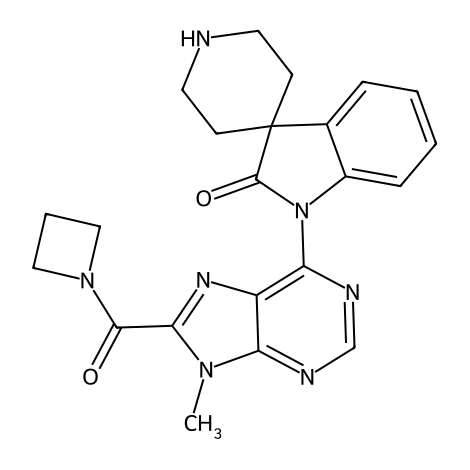 Cn1c(C(=O)N2CCC2)nc2c(N3C(=O)C4(CCNCC4)c4ccccc43)ncnc21